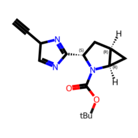 C#CC1C=NC([C@@H]2C[C@H]3C[C@H]3N2C(=O)OC(C)(C)C)=N1